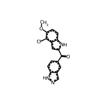 COc1ccc2[nH]c(C(=O)c3ccc4[nH]ncc4c3)cc2c1Cl